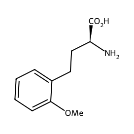 COc1ccccc1CC[C@H](N)C(=O)O